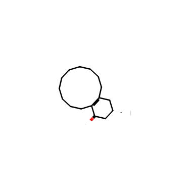 C[C@@H]1CC(=O)C2=C(CCCCCCCCCC2)C1